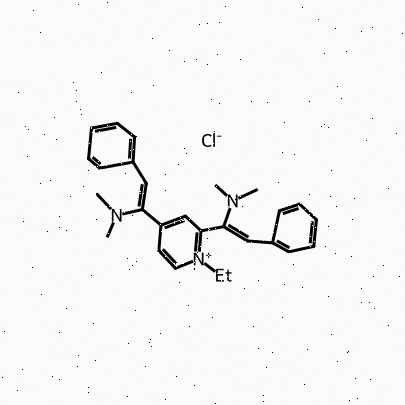 CC[n+]1ccc(C(=Cc2ccccc2)N(C)C)cc1C(=Cc1ccccc1)N(C)C.[Cl-]